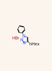 Br.CCCCCCc1cn(-c2ccccc2)nn1